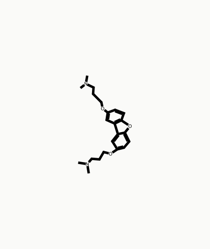 CN(C)CCCOc1ccc2oc3ccc(OCCCN(C)C)cc3c2c1